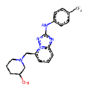 OC1CCCN(Cc2cccc3nc(Nc4ccc(C(F)(F)F)cc4)nn23)C1